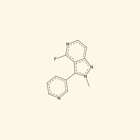 Cn1nc2ccnc(F)c2c1-c1cccnc1